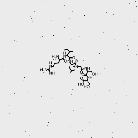 CCC(C)[C@H](NC(=O)C(N)CCCNC(=N)N)C(=O)N[C@@H](CC(C)C)C(=O)NCC(=O)N[C@@H](CO)C(=O)N[C@@H](CO)C(=O)O